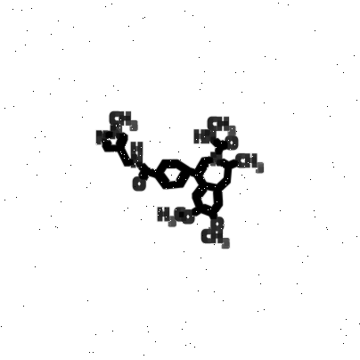 CNC(=O)N1C=C(c2ccc(C(=O)NCc3cnn(C)c3)cc2)c2cc(OC)c(OC)cc2CC1C